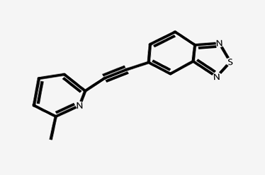 Cc1cccc(C#Cc2ccc3nsnc3c2)n1